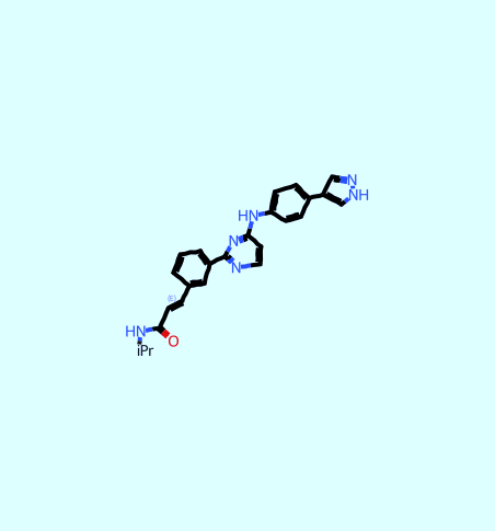 CC(C)NC(=O)/C=C/c1cccc(-c2nccc(Nc3ccc(-c4cn[nH]c4)cc3)n2)c1